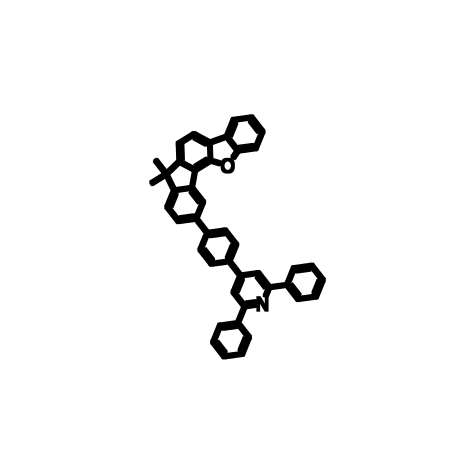 CC1(C)c2ccc(-c3ccc(-c4cc(-c5ccccc5)nc(-c5ccccc5)c4)cc3)cc2-c2c1ccc1c2oc2ccccc21